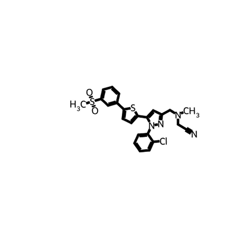 CN(CC#N)Cc1cc(-c2ccc(-c3cccc(S(C)(=O)=O)c3)s2)n(-c2ccccc2Cl)n1